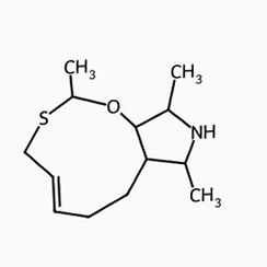 CC1OC2C(C)NC(C)C2CC/C=C/CS1